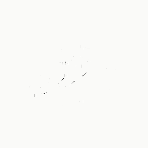 CCC1[C@@H]2[C@@H](C#C[C@@H](O[Si](C)(C)C(C)(C)C)C3CCCCC3)[C@H](O)CC[C@]2(C)C12OCCO2